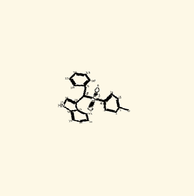 Cc1ccc(S(=O)(=O)C(c2ccccc2)c2c[nH]c3ccccc23)cc1